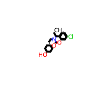 CCC(c1ccc(Cl)cc1)N1CC[C@]2(CC[C@H](O)CC2)OC1=O